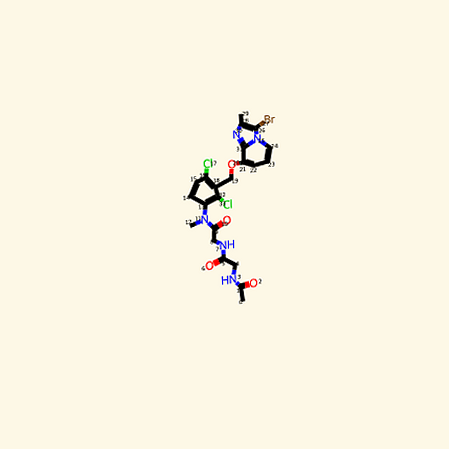 CC(=O)NCC(=O)NCC(=O)N(C)c1ccc(Cl)c(COc2cccn3c(Br)c(C)nc23)c1Cl